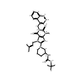 CC(C)=CCn1c(N2CCCC(NC(=O)OC(C)(C)C)C2)nc2c1c(=O)n(Cc1cnnc3ccccc13)c(=O)n2C